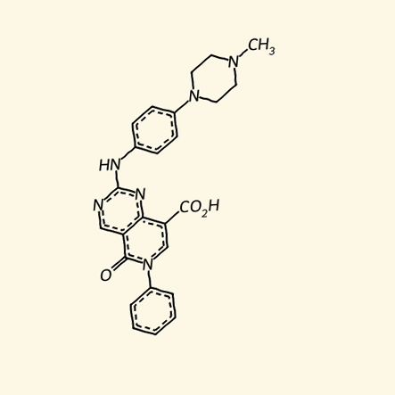 CN1CCN(c2ccc(Nc3ncc4c(=O)n(-c5ccccc5)cc(C(=O)O)c4n3)cc2)CC1